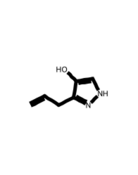 C=CCc1n[nH]cc1O